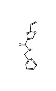 C=Cc1nc(C(=O)NCc2ccccn2)co1